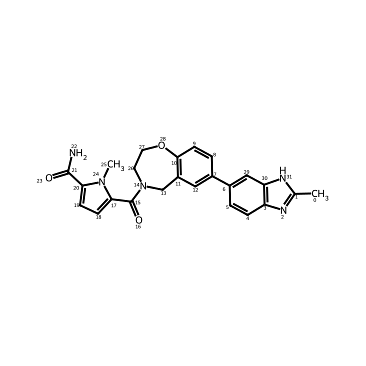 Cc1nc2ccc(-c3ccc4c(c3)CN(C(=O)c3ccc(C(N)=O)n3C)CCO4)cc2[nH]1